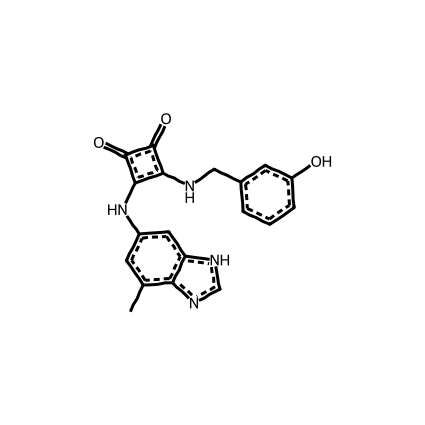 Cc1cc(Nc2c(NCc3cccc(O)c3)c(=O)c2=O)cc2[nH]cnc12